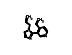 C=CCn1ccnc1-c1cnccc1C=C